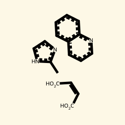 Cc1ncc[nH]1.O=C(O)/C=C\C(=O)O.c1ccc2ncccc2c1